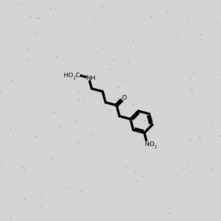 O=C(CCCNC(=O)O)Cc1cccc([N+](=O)[O-])c1